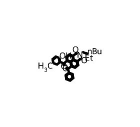 CCCCC(CC)CN1C(=O)c2ccc(C(=O)C3=C(O)C=CC(C)C3)c3c(C(=O)c4ccccc4)ccc(c23)C1=O